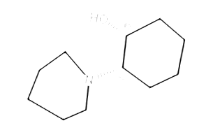 O[C@@H]1CCCC[C@@H]1N1CCCCC1